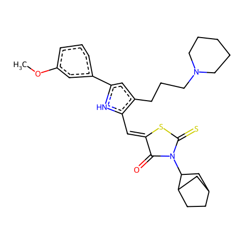 COc1cccc(-c2cc(CCCN3CCCCC3)c(/C=C3\SC(=S)N(C4CC5CCC4C5)C3=O)[nH]2)c1